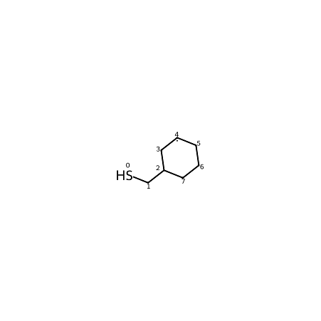 SCC1C[CH]CCC1